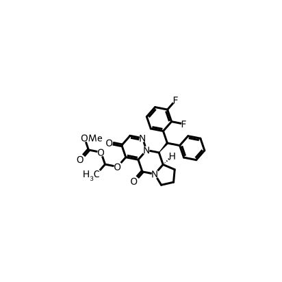 COC(=O)OC(C)Oc1c2n(ncc1=O)[C@@H](C(c1ccccc1)c1cccc(F)c1F)[C@H]1CCCN1C2=O